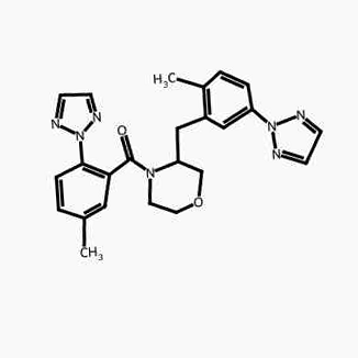 Cc1ccc(-n2nccn2)c(C(=O)N2CCOCC2Cc2cc(-n3nccn3)ccc2C)c1